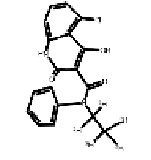 [2H]C([2H])([2H])C([2H])([2H])N(C(=O)c1c(O)c2c(Cl)cccc2[nH]c1=O)c1ccccc1